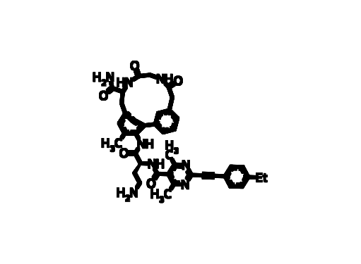 CCc1ccc(C#Cc2nc(C)c(C(=O)N[C@@H](CCN)C(=O)Nc3c(C)cc4cc3-c3cccc(c3)CC(=O)NCC(=O)NC(C(N)=O)C4)c(C)n2)cc1